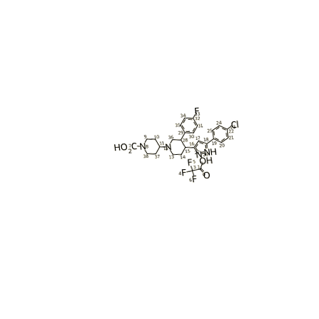 O=C(O)C(F)(F)F.O=C(O)N1CCC(N2CCC(c3cc(-c4ccc(Cl)cc4)[nH]n3)C(c3ccc(F)cc3)C2)CC1